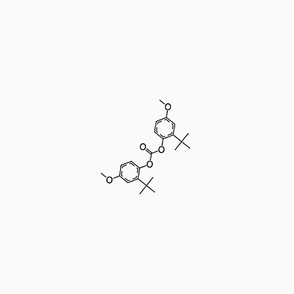 COc1ccc(OC(=O)Oc2ccc(OC)cc2C(C)(C)C)c(C(C)(C)C)c1